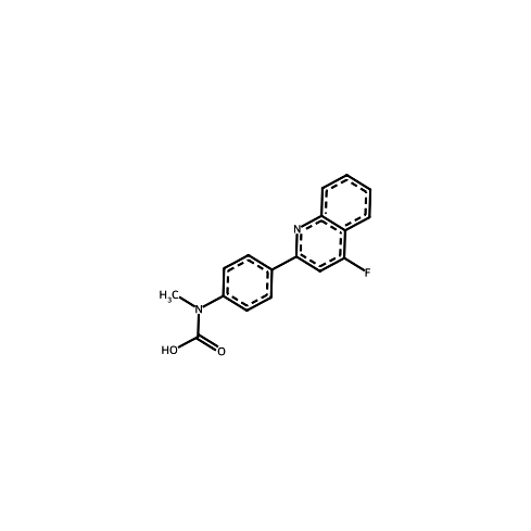 CN(C(=O)O)c1ccc(-c2cc(F)c3ccccc3n2)cc1